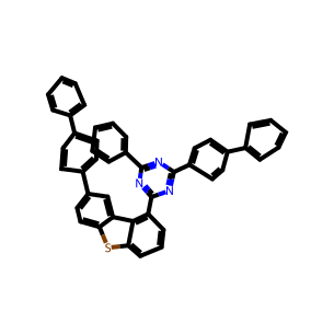 c1ccc(-c2ccc(-c3ccc4sc5cccc(-c6nc(-c7ccccc7)nc(-c7ccc(-c8ccccc8)cc7)n6)c5c4c3)cc2)cc1